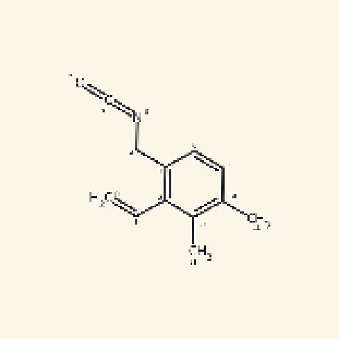 C=Cc1c(CN=C=O)ccc(C)c1C